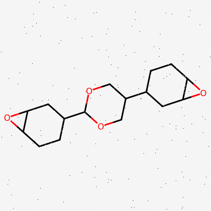 C1CC2OC2CC1C1COC(C2CCC3OC3C2)OC1